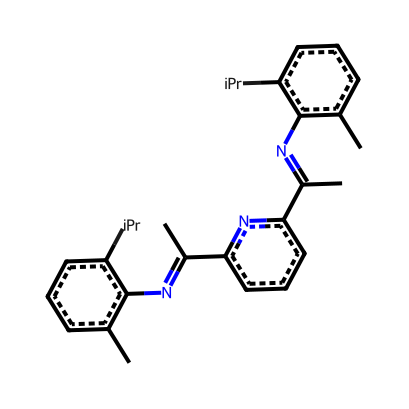 CC(=Nc1c(C)cccc1C(C)C)c1cccc(C(C)=Nc2c(C)cccc2C(C)C)n1